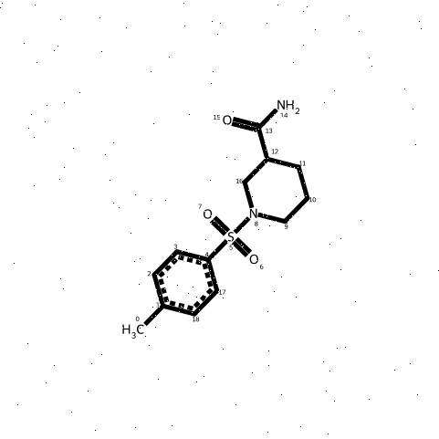 Cc1ccc(S(=O)(=O)N2CCCC(C(N)=O)C2)cc1